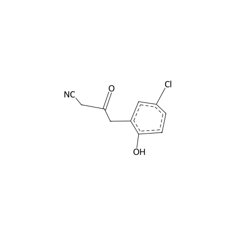 N#CCC(=O)Cc1cc(Cl)ccc1O